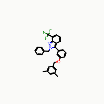 Cc1cc(C)cc(COc2cccc(-c3c4cccc(C(F)(F)F)c4nn3Cc3ccccc3)c2)c1